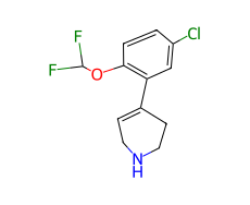 FC(F)Oc1ccc(Cl)cc1C1=CCNCC1